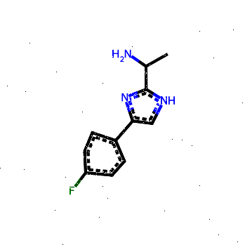 CC(N)c1nc(-c2ccc(F)cc2)c[nH]1